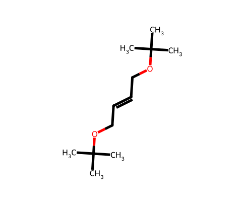 CC(C)(C)OCC=CCOC(C)(C)C